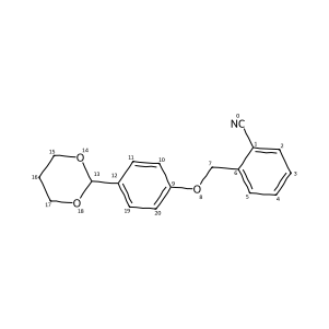 N#Cc1ccccc1COc1ccc(C2OCCCO2)cc1